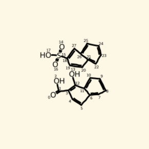 O=C(O)c1ccc2ccccc2c1O.O=S(=O)(O)c1ccc2ccccc2c1